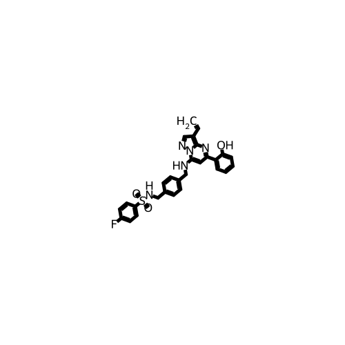 C=Cc1cnn2c(NCc3ccc(CNS(=O)(=O)c4ccc(F)cc4)cc3)cc(-c3ccccc3O)nc12